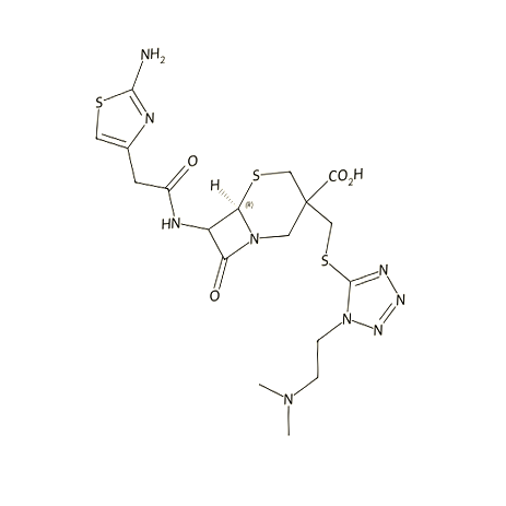 CN(C)CCn1nnnc1SCC1(C(=O)O)CS[C@@H]2C(NC(=O)Cc3csc(N)n3)C(=O)N2C1